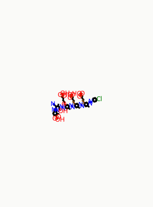 Cc1cc(N=Nc2cc(SCCCS(=O)(=O)O)c(N=Nc3cc(OCCCCS(=O)(=O)O)c(N=Nc4c(C)c(C#N)c5nc6ccc(S(=O)(=O)O)c(C)c6n5c4O)cc3C)cc2C)c(SCCCS(=O)(=O)O)cc1N=Nc1ccc(Cl)cc1